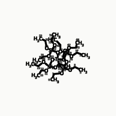 CCO[Si](OCC)(OCC)[O][Ti]([O][Si](OCC)(OCC)OCC)([O][Si](OCC)(OCC)OCC)[O][Si](OCC)(OCC)OCC